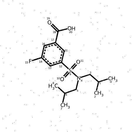 CC(C)CN(CC(C)C)S(=O)(=O)c1cc(F)cc(C(=O)O)c1